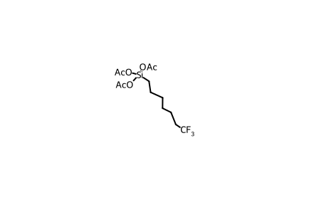 CC(=O)O[Si](CCCCCCC(F)(F)F)(OC(C)=O)OC(C)=O